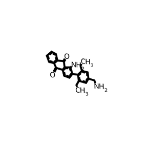 CCc1cc(CN)cc(CC)c1-c1ccc2c(c1N)C(=O)c1ccccc1C2=O